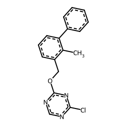 Cc1c(COc2ncnc(Cl)n2)cccc1-c1ccccc1